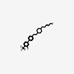 FCC=CCCC1CCC(CCc2ccc(-c3ccc(C(F)(F)F)c(F)c3)cc2)CC1